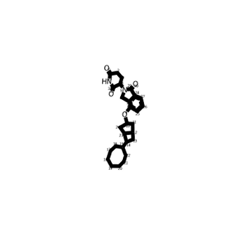 O=C1CCC(N2Cc3c(OC4CC5CC(C6CCCCCCC6)C5C4)cccc3C2=O)C(=O)N1